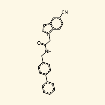 N#Cc1ccc2c(ccn2CC(=O)NCc2ccc(-c3ccccc3)cc2)c1